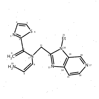 C=C(c1nccs1)N(/C=C\N)Cc1nc2ccncc2n1CC